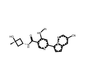 CC(C)Nc1cc(-c2ccc3cc(C#N)cnn23)ncc1C(=O)N[C@H]1C[C@@](C)(O)C1